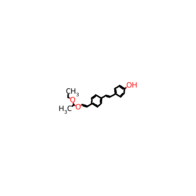 CCOC(C)OC=Cc1ccc(C=Cc2ccc(O)cc2)cc1